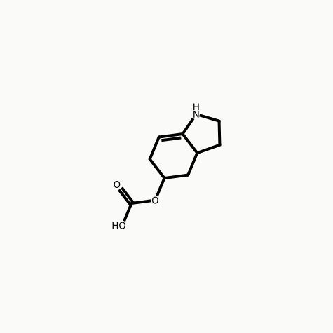 O=C(O)OC1CC=C2NCCC2C1